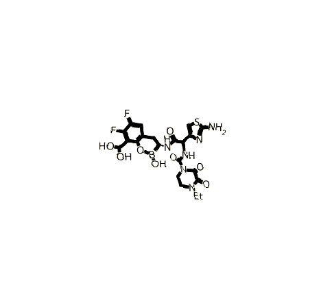 CCN1CCN(C(=O)NC(C(=O)N[C@H]2Cc3cc(F)c(F)c(C(O)O)c3OB2O)c2csc(N)n2)C(=O)C1=O